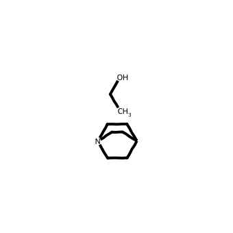 C1CN2CCC1CC2.CCO